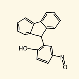 O=Nc1ccc(O)c(C2c3ccccc3-c3ccccc32)c1